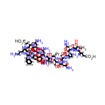 CC(C)[C@H](NC(=O)[C@H](CO)NC(=O)[C@H](CC(N)=O)NC(=O)[C@H](CO)NC(=O)[C@@H]1CCCN1C(=O)[C@H](CC(N)=O)NC(=O)[C@@H](NC(=O)[C@@H](N)CCC(=O)O)[C@@H](C)O)C(=O)N[C@H](C(=O)N[C@@H](CC(N)=O)C(=O)N[C@@H](Cc1ccc(O)cc1)C(=O)N[C@@H](CC(N)=O)C(=O)N[C@@H](CCC(=O)O)C(=O)N[C@@H](CCCCN)C(=O)N[C@@H](Cc1ccccc1)C(=O)N[C@@H](CCCCN)C(=O)N[C@@H](CO)C(=O)O)[C@@H](C)O